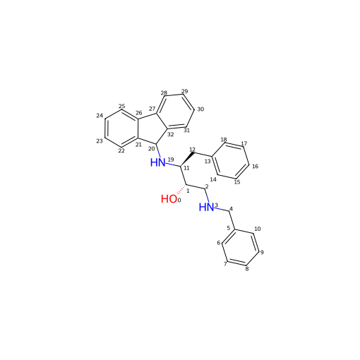 O[C@@H](CNCc1ccccc1)[C@H](Cc1ccccc1)NC1c2ccccc2-c2ccccc21